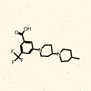 CC1CCN(C2CCN(c3cc(C(=O)O)cc(C(F)(F)F)c3)CC2)CC1